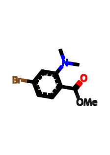 COC(=O)c1ccc(Br)cc1N(C)C